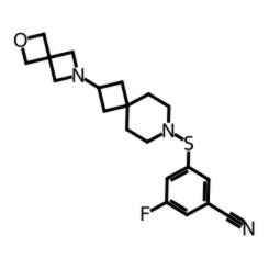 N#Cc1cc(F)cc(SN2CCC3(CC2)CC(N2CC4(COC4)C2)C3)c1